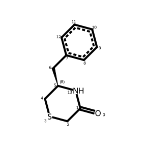 O=C1CSC[C@@H](Cc2ccccc2)N1